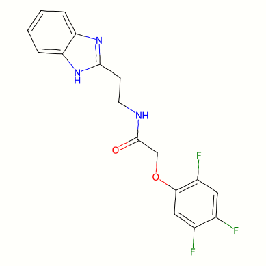 O=C(COc1cc(F)c(F)cc1F)NCCc1nc2ccccc2[nH]1